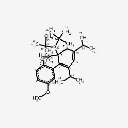 COc1ccc(C)c(C2=C(C(C)C)C=C(C(C)C)CC2(C(C)C)P(C(C)(C)C)C(C)(C)C)c1